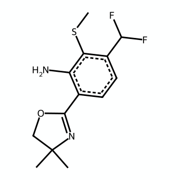 CSc1c(C(F)F)ccc(C2=NC(C)(C)CO2)c1N